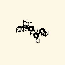 O=S(=O)(Nc1ccncn1)c1cc(F)c(Oc2ccc(Cl)cc2-c2cccc3nccn23)cc1F